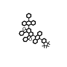 CC1(C)c2ccc(-c3c4ccccc4c(-c4cc5cc(-c6c7ccccc7c(-c7ccccc7)c7ccccc67)c6oc7ccccc7c6c5c5c4oc4ccccc45)c4ccccc34)cc2C(C)(C)C1(C)C